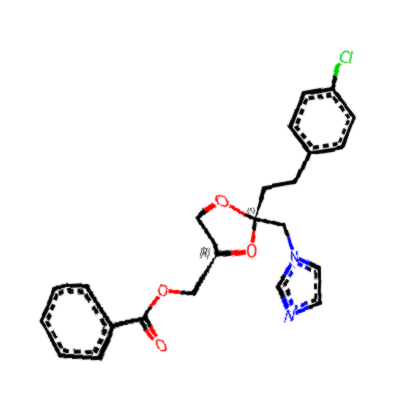 O=C(OC[C@H]1CO[C@](CCc2ccc(Cl)cc2)(Cn2ccnc2)O1)c1ccccc1